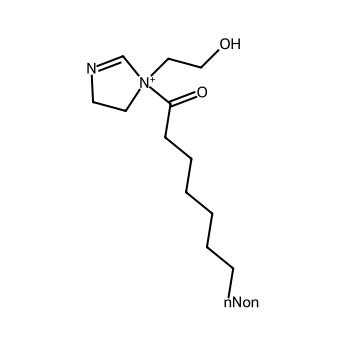 CCCCCCCCCCCCCCCC(=O)[N+]1(CCO)C=NCC1